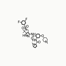 CN1CCC(Oc2ccc(C(=O)Nc3n[nH]c4c3CN(S(=O)(=O)c3cc(F)cc(F)c3)C4(C)C)c(NC(=O)c3cccn3C)c2)CC1